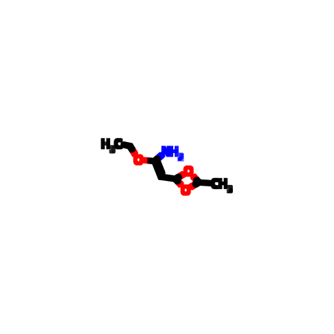 CCO/C(N)=C/C1OC(C)O1